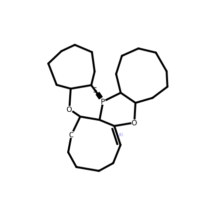 S=P12C3CCCCCCCC3O/C3=C/CCCCCC(OC4CCCCCCC41)C32